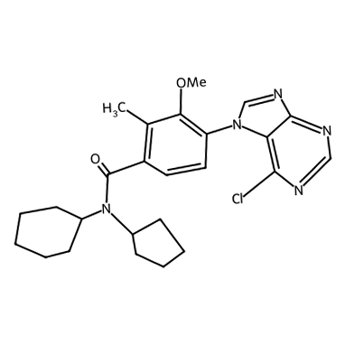 COc1c(-n2cnc3ncnc(Cl)c32)ccc(C(=O)N(C2CCCCC2)C2CCCC2)c1C